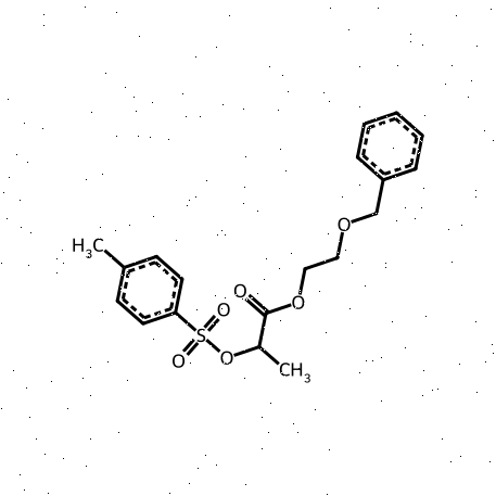 Cc1ccc(S(=O)(=O)OC(C)C(=O)OCCOCc2ccccc2)cc1